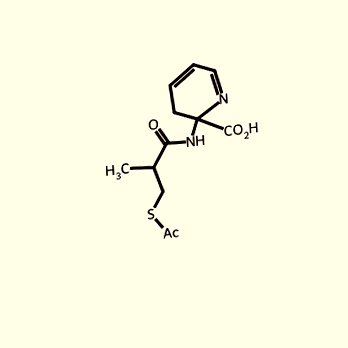 CC(=O)SCC(C)C(=O)NC1(C(=O)O)CC=CC=N1